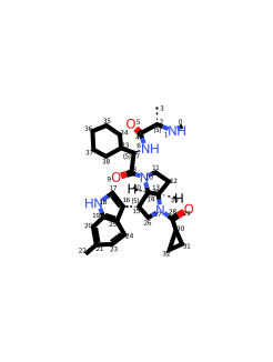 CN[C@@H](C)C(=O)N[C@H](C(=O)N1CC[C@@H]2[C@H]1[C@@H](c1c[nH]c3cc(C)ccc13)CN2C(=O)C1CC1)C1CCCCC1